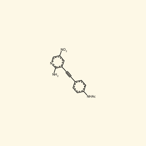 CC(=O)Nc1ccc(C#Cc2cc([N+](=O)[O-])cnc2N)cc1